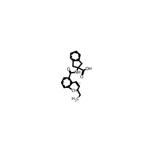 CCC/C=C\c1c(C)cccc1C(=O)NC1(C(=O)O)Cc2ccccc2C1